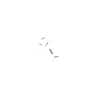 O=C(O)C#Cc1ccc(O)c(O)c1O.[Na]